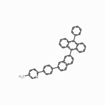 Cc1ccc(-c2ccc(-c3ccc4ccc(-c5c6ccccc6c(-c6ccccc6)c6ccccc56)cc4c3)cc2)nc1